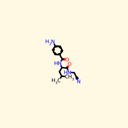 CC(C)CC(NC(=O)c1ccc(N)cc1)C(=O)NCC#N